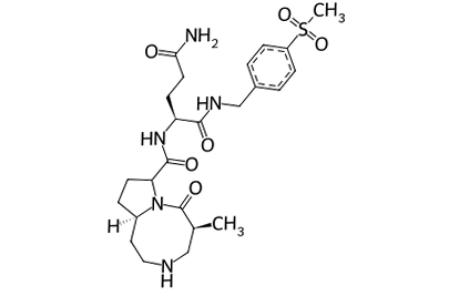 C[C@H]1CNCC[C@H]2CCC(C(=O)N[C@@H](CCC(N)=O)C(=O)NCc3ccc(S(C)(=O)=O)cc3)N2C1=O